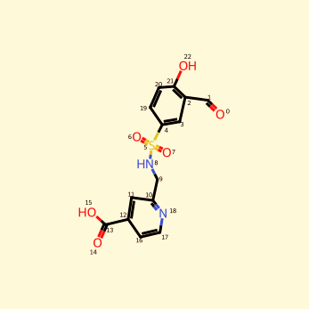 O=Cc1cc(S(=O)(=O)NCc2cc(C(=O)O)ccn2)ccc1O